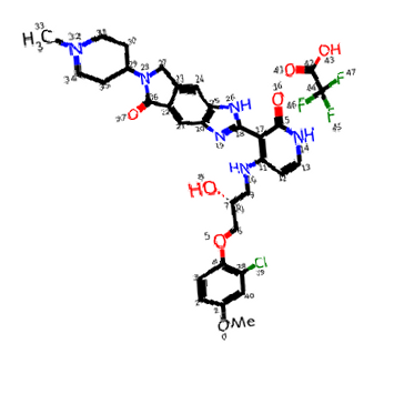 COc1ccc(OC[C@H](O)CNc2cc[nH]c(=O)c2-c2nc3cc4c(cc3[nH]2)CN(C2CCN(C)CC2)C4=O)c(Cl)c1.O=C(O)C(F)(F)F